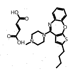 CCCCc1cc2c(s1)Oc1ccccc1N=C2N1CCN(C)CC1.O=C(O)C=CC(=O)O